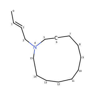 CC=CCN1CCCCCCCCCCC1